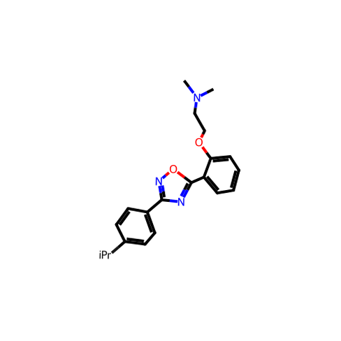 CC(C)c1ccc(-c2noc(-c3ccccc3OCCN(C)C)n2)cc1